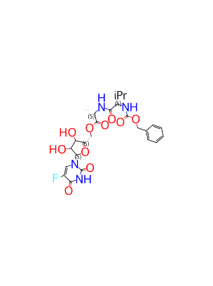 CC(C)[C@H](NC(=O)OCc1ccccc1)C(=O)N[C@@H](C)C(=O)OC[C@@H]1O[C@H](n2cc(F)c(=O)[nH]c2=O)C(O)C1O